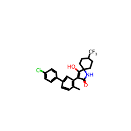 Cc1ccc(-c2ccc(Cl)cc2)cc1C1=C(O)C2(CCC(C(F)(F)F)CC2)NC1=O